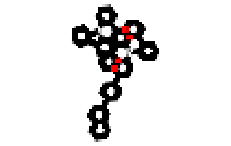 c1ccc(-c2ccccc2N(c2ccc(-c3ccc(-c4ccc5ccccc5c4)cc3)cc2)c2ccc(-c3ccccc3-n3c4ccccc4c4ccccc43)cc2-c2ccccc2)cc1